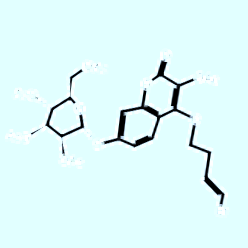 CCC=CCCOc1c(OC(C)=O)c(=O)oc2cc(O[C@H]3O[C@H](COC(C)=O)[C@@H](OC(C)=O)[C@H](OC(C)=O)[C@@H]3OC(C)=O)ccc12